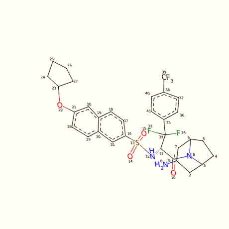 NC1CC2CCC(C1)N2C(=O)[C@H](NS(=O)(=O)c1ccc2cc(OC3CCCC3)ccc2c1)C(F)(F)c1ccc(C(F)(F)F)cc1